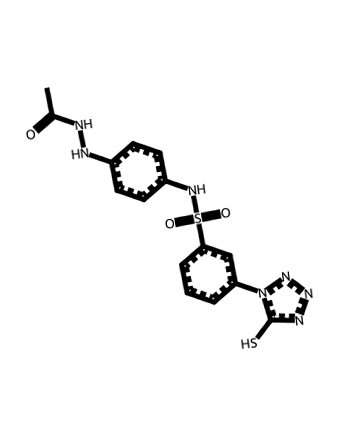 CC(=O)NNc1ccc(NS(=O)(=O)c2cccc(-n3nnnc3S)c2)cc1